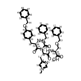 Cn1cnc(C[C@@H](C(=O)N[C@@H](COCc2ccccc2)C(=O)O)N(C(=O)OCc2ccccc2)C(=O)[C@@H](N)Cc2ccc(OCc3ccccc3)cc2)c1